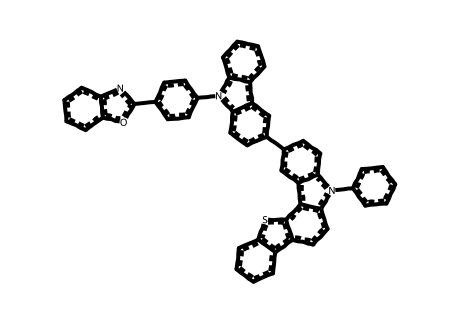 c1ccc(-n2c3ccc(-c4ccc5c(c4)c4ccccc4n5-c4ccc(-c5nc6ccccc6o5)cc4)cc3c3c4sc5ccccc5c4ccc32)cc1